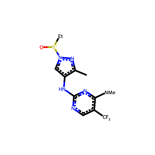 CC[S+]([O-])n1cc(Nc2ncc(C(F)(F)F)c(NC)n2)c(C)n1